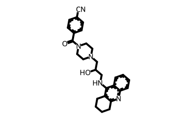 N#Cc1ccc(C(=O)N2CCN(CC(O)CNc3c4c(nc5ccccc35)CCCC4)CC2)cc1